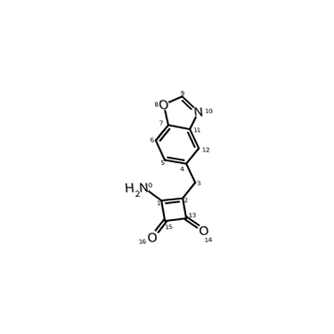 Nc1c(Cc2ccc3ocnc3c2)c(=O)c1=O